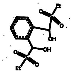 CCS(=O)(=O)C(O)c1ccccc1C(O)S(=O)(=O)CC